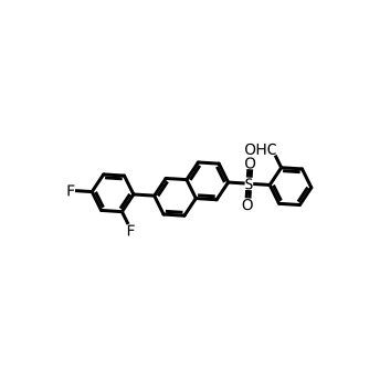 O=Cc1ccccc1S(=O)(=O)c1ccc2cc(-c3ccc(F)cc3F)ccc2c1